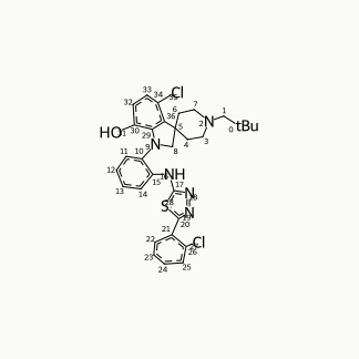 CC(C)(C)CN1CCC2(CC1)CN(c1ccccc1Nc1nnc(-c3ccccc3Cl)s1)c1c(O)ccc(Cl)c12